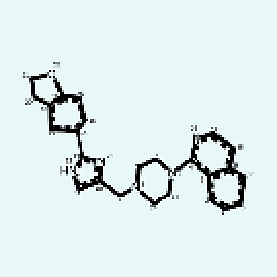 c1ccc2c(N3CCN(Cc4c[nH]c(-c5ccc6c(c5)CCO6)n4)CC3)nccc2c1